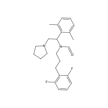 Cc1cccc(C)c1C(CN1CCCC1)N(C=O)CCCc1c(F)cccc1F